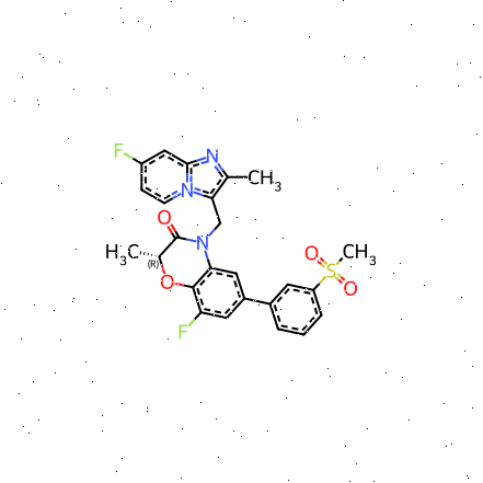 Cc1nc2cc(F)ccn2c1CN1C(=O)[C@@H](C)Oc2c(F)cc(-c3cccc(S(C)(=O)=O)c3)cc21